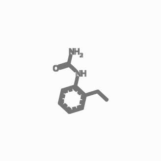 CCc1ccccc1NC(N)=O